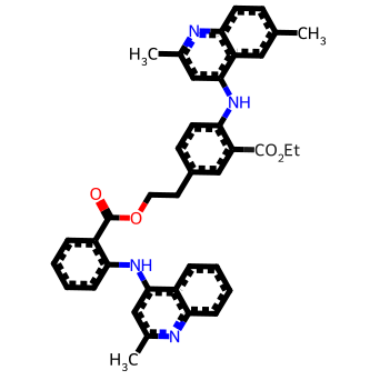 CCOC(=O)c1cc(CCOC(=O)c2ccccc2Nc2cc(C)nc3ccccc23)ccc1Nc1cc(C)nc2ccc(C)cc12